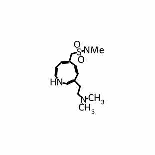 CNS(=O)(=O)Cc1ccc[nH]cc(CCN(C)C)cc1